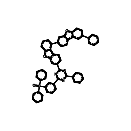 O=P(c1ccccc1)(c1ccccc1)c1cccc(-c2nc(-c3ccccc3)nc(-c3ccc4c(c3)oc3cccc(-c5ccc6c(c5)oc5ccc(-c7ccccc7)cc56)c34)n2)c1